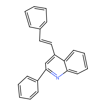 C(=Cc1cc(-c2ccccc2)nc2ccccc12)c1ccccc1